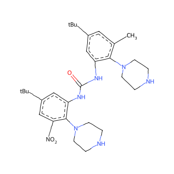 Cc1cc(C(C)(C)C)cc(NC(=O)Nc2cc(C(C)(C)C)cc([N+](=O)[O-])c2N2CCNCC2)c1N1CCNCC1